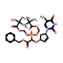 Cc1cn([C@H]2C=C[C@@H](OC(C(=O)OCc3ccccc3)P(=O)(OCOC(=O)C(C)(C)C)OCOC(=O)C(C)(C)C)C2)c(=O)[nH]c1=O